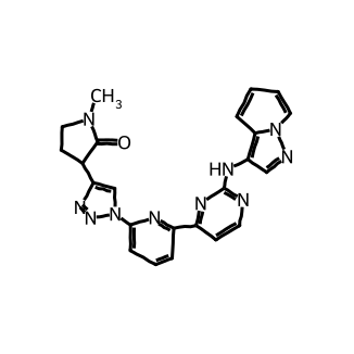 CN1CCC(c2cn(-c3cccc(-c4ccnc(Nc5cnn6ccccc56)n4)n3)nn2)C1=O